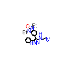 CCn1c(=O)n(CC)c2cc(-c3c(NCCN(C)C)n[nH]c3-c3ccccc3)ccc21